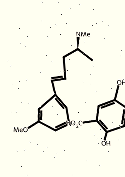 CN[C@@H](C)C/C=C/c1cncc(OC)c1.O=C(O)c1cc(O)ccc1O